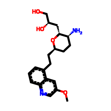 COc1cnc2cccc(CC[C@@H]3CC[C@@H](N)[C@@H](C[C@H](O)CO)O3)c2c1